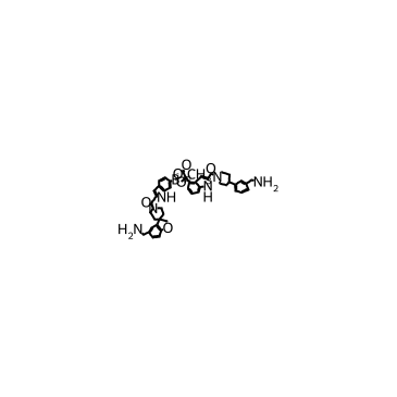 C[C@@]1(c2cccc3[nH]c(C(=O)N4CCC(c5cccc(CN)c5)CC4)cc23)OB(c2ccc3cc(C(=O)N4CCC5(CC4)COc4ccc(CN)cc45)[nH]c3c2)OC1=O